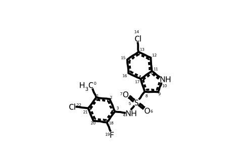 Cc1cc(NS(=O)(=O)c2c[nH]c3cc(Cl)ccc23)c(F)cc1Cl